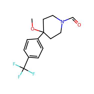 COC1(c2ccc(C(F)(F)F)cc2)CCN(C=O)CC1